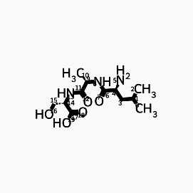 CC(C)C[C@H](N)C(=O)N[C@@H](C)C(=O)N[C@@H](CO)C(=O)O